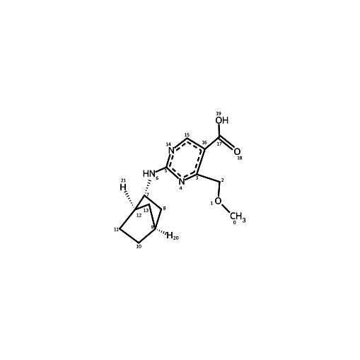 COCc1nc(N[C@@H]2C[C@H]3CC[C@@H]2C3)ncc1C(=O)O